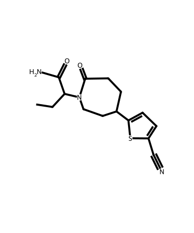 CCC(C(N)=O)N1CCC(c2ccc(C#N)s2)CCC1=O